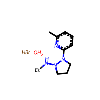 Br.CCNN1CCCN1c1cccc(C)n1.O